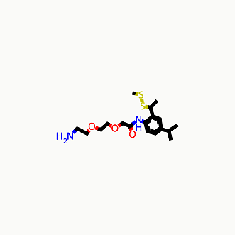 CSSC(C)c1cc(C(C)C)ccc1NC(=O)COCCOCCN